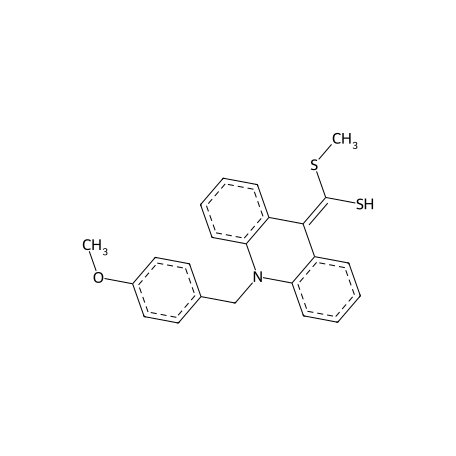 COc1ccc(CN2c3ccccc3C(=C(S)SC)c3ccccc32)cc1